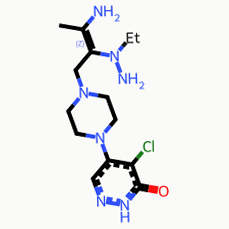 CCN(N)/C(CN1CCN(c2cn[nH]c(=O)c2Cl)CC1)=C(/C)N